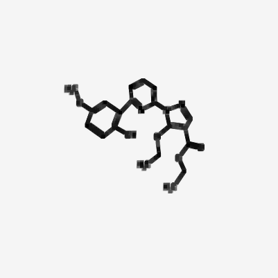 CCOC(=O)c1cnn(-c2cccc(-c3cc(OC)ccc3O)n2)c1OCC